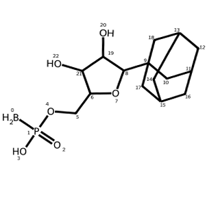 BP(=O)(O)OCC1OC(C23CC4CC(CC(C4)C2)C3)C(O)C1O